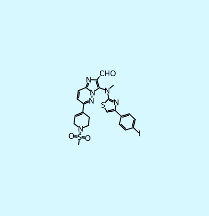 CN(c1nc(-c2ccc(I)cc2)cs1)c1c(C=O)nc2ccc(C3=CCN(S(C)(=O)=O)CC3)nn12